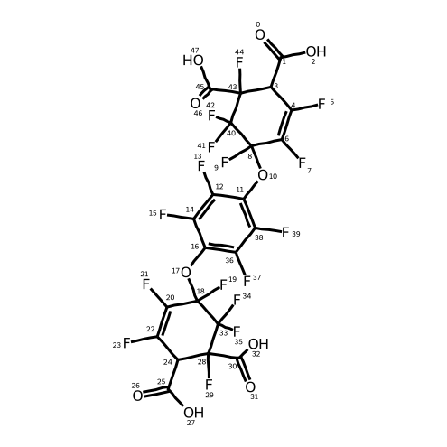 O=C(O)C1C(F)=C(F)C(F)(Oc2c(F)c(F)c(OC3(F)C(F)=C(F)C(C(=O)O)C(F)(C(=O)O)C3(F)F)c(F)c2F)C(F)(F)C1(F)C(=O)O